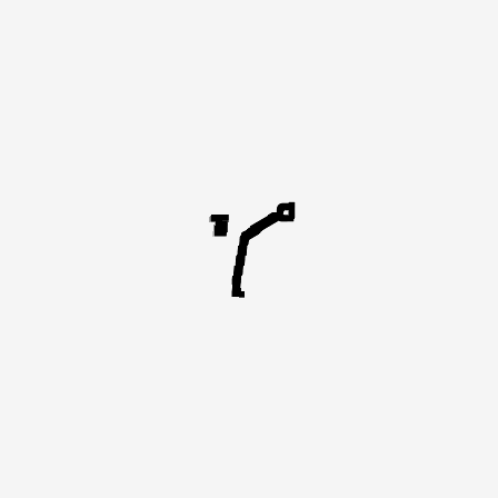 [CH2]CCl.[Ti]